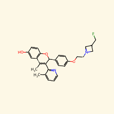 CC1=C(c2ncccc2C)C(c2ccc(OCCN3CC(CF)C3)cc2)Oc2ccc(O)cc21